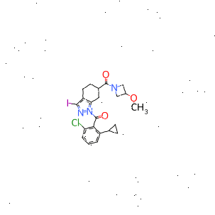 COC1CN(C(=O)C2CCc3c(I)nn(C(=O)c4c(Cl)cccc4C4CC4)c3C2)C1